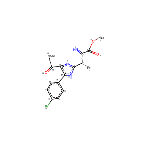 CC[C@@H](C(=N)C(=O)OC(C)(C)C)c1nc(C(=O)NC)c(-c2ccc(Br)cc2)[nH]1